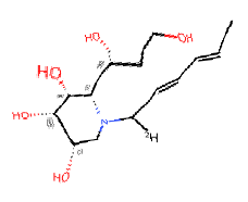 [2H]C(C=CC=CC)N1C[C@H](O)[C@H](O)[C@H](O)[C@@H]1[C@H](O)CCO